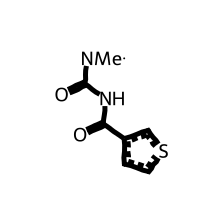 C[N]C(=O)NC(=O)c1ccsc1